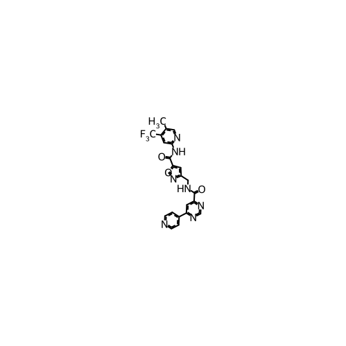 Cc1cnc(NC(=O)c2cc(CNC(=O)c3cc(-c4ccncc4)ncn3)no2)cc1C(F)(F)F